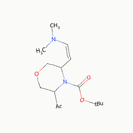 CC(=O)C1COCC(/C=C\N(C)C)N1C(=O)OC(C)(C)C